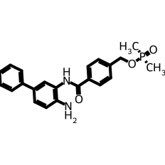 CP(C)(=O)OCc1ccc(C(=O)Nc2cc(-c3ccccc3)ccc2N)cc1